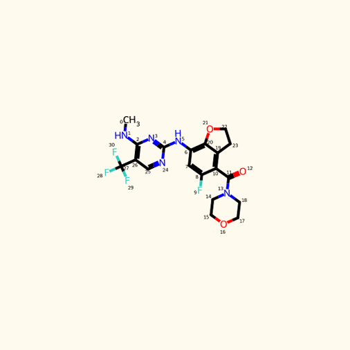 CNc1nc(Nc2cc(F)c(C(=O)N3CCOCC3)c3c2OCC3)ncc1C(F)(F)F